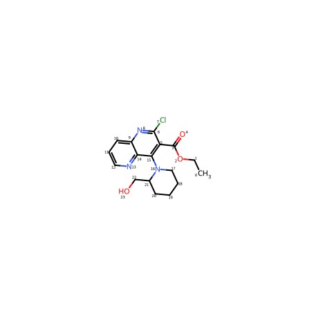 CCOC(=O)c1c(Cl)nc2cccnc2c1N1CCCCC1CO